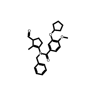 COc1ccc(C(=O)N(Cc2ccccc2)C2=C(C)C(C=O)CC2)cc1OC1CCCC1